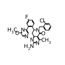 COc1cncc(-c2cc(F)ccc2C2Cc3nc(N)nc(C)c3C(=O)N2Cc2ccccc2Cl)n1